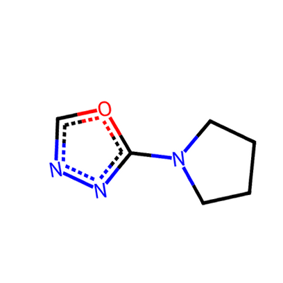 c1nnc(N2CCCC2)o1